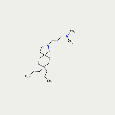 CCCC1(CCC)CCC2(CCN(CCCN(C)C)C2)CC1